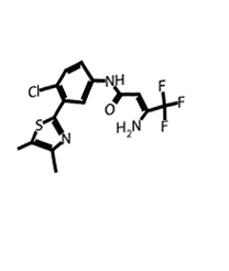 Cc1nc(-c2cc(NC(=O)C=C(N)C(F)(F)F)ccc2Cl)sc1C